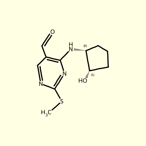 CSc1ncc(C=O)c(N[C@@H]2CCC[C@@H]2O)n1